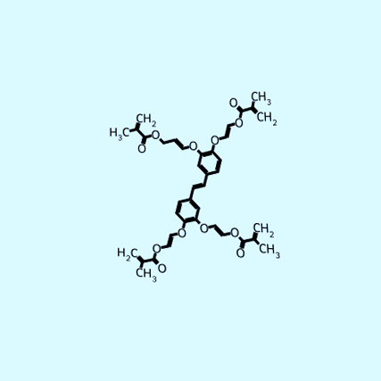 C=C(C)C(=O)O/C=C/Oc1ccc(/C=C/c2ccc(O/C=C/OC(=O)C(=C)C)c(O/C=C/OC(=O)C(=C)C)c2)cc1O/C=C/COC(=O)C(=C)C